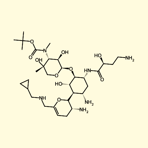 CN(C(=O)OC(C)(C)C)[C@@H]1[C@@H](O)[C@@H](O[C@@H]2[C@@H](O)[C@H](C3OC(CNCC4CC4)=CC[C@H]3N)[C@@H](N)C[C@H]2NC(=O)[C@@H](O)CCN)OC[C@]1(C)O